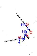 CCCCCCCCCCCCNC(=O)CCN(CCC=O)CCNCCN(CCN(CCC)CCC(=O)NCCCCCCCCCCCC)C(=O)CC(C)C